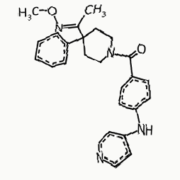 CON=C(C)C1(c2ccccc2)CCN(C(=O)c2ccc(Nc3ccncc3)cc2)CC1